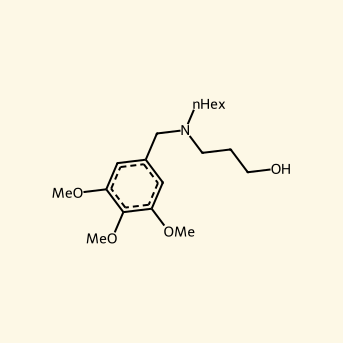 CCCCCCN(CCCO)Cc1cc(OC)c(OC)c(OC)c1